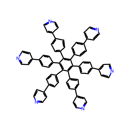 c1cc(-c2ccc(-c3c(-c4ccc(-c5ccncc5)cc4)c(-c4ccc(-c5ccncc5)cc4)c(-c4ccc(-c5ccncc5)cc4)c(-c4ccc(-c5ccncc5)cc4)c3-c3ccc(-c4ccncc4)cc3)cc2)ccn1